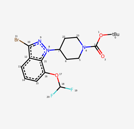 CC(C)(C)OC(=O)N1CCC(n2nc(Br)c3cccc(OC(F)F)c32)CC1